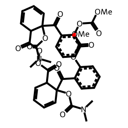 COC(=O)Oc1ccccc1C(=O)C1(OC(=O)N(C)C)C=CC=CC1C(=O)OOC(=O)C1C=CC=CC1(OC(=O)N(C)C)C(=O)c1ccccc1OC(=O)OC